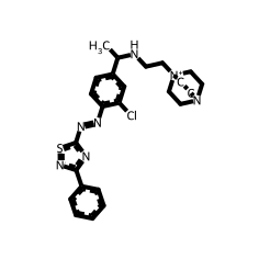 CC(NCC[N+]12CCN(CC1)CC2)c1ccc(N=Nc2nc(-c3ccccc3)ns2)c(Cl)c1